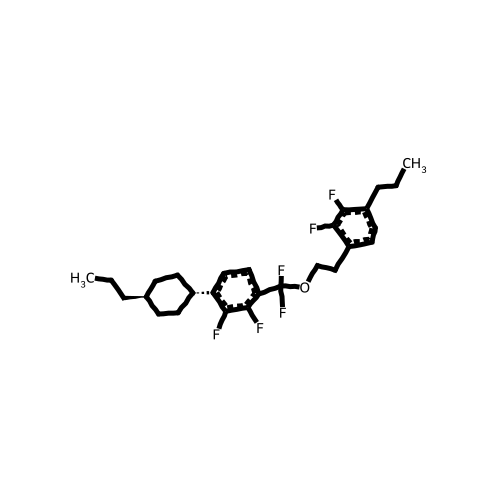 CCCc1ccc(CCOC(F)(F)c2ccc([C@H]3CC[C@H](CCC)CC3)c(F)c2F)c(F)c1F